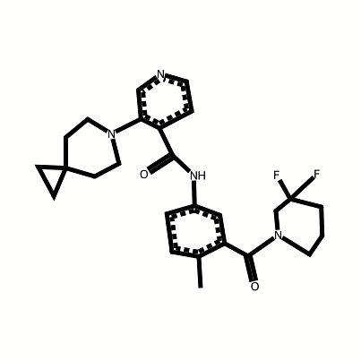 Cc1ccc(NC(=O)c2ccncc2N2CCC3(CC2)CC3)cc1C(=O)N1CCCC(F)(F)C1